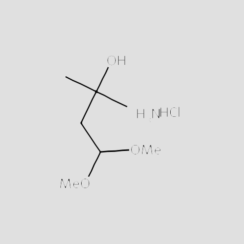 COC(CC(C)(C)O)OC.Cl.N